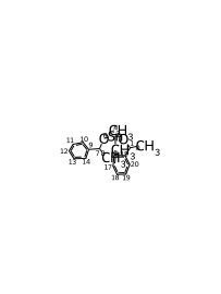 CC([O][Sn]([CH3])([CH3])[O]C(C)c1ccccc1)c1ccccc1